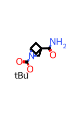 CC(C)(C)OC(=O)N1CC2(C(N)=O)CC1C2